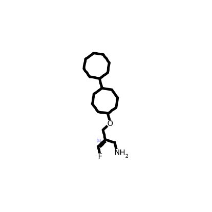 NC/C(=C\F)COC1CCCC(C2CCCCCCC2)CCC1